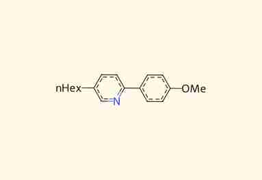 CCCCCCc1ccc(-c2ccc(OC)cc2)nc1